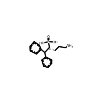 NCCC[C@H](C(c1ccccc1)c1ccccc1)P(=O)(O)O